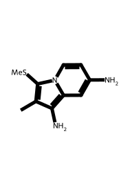 CSc1c(C)c(N)c2cc(N)ccn12